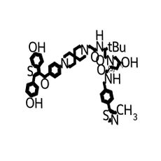 Cc1ncsc1-c1ccc(CNC(=O)[C@@H]2C[C@@H](O)CN2C(=O)C(NC(=O)CN2CCC3(CC2)CCN(c2ccc(C(=O)c4c(-c5ccc(O)cc5)sc5cc(O)ccc45)cc2)CC3)C(C)(C)C)cc1